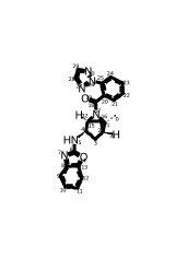 C[C@@H]1[C@@H]2C[C@@H](Nc3nc4ccccc4o3)[C@H](C2)N1C(=O)c1ccccc1-n1nccn1